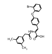 Cc1cc(C)cc(CC(=O)N/C(=C\c2ccc(Oc3ccccc3Br)cc2)C(=O)O)c1